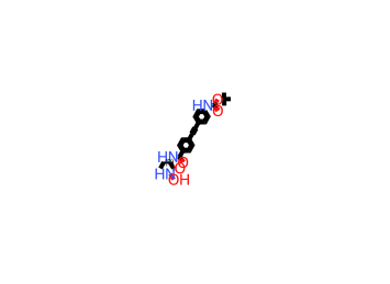 CC[C@@H](NC(=O)c1ccc(C#Cc2ccc(NC(=O)OC(C)(C)C)cc2)cc1)C(=O)NO